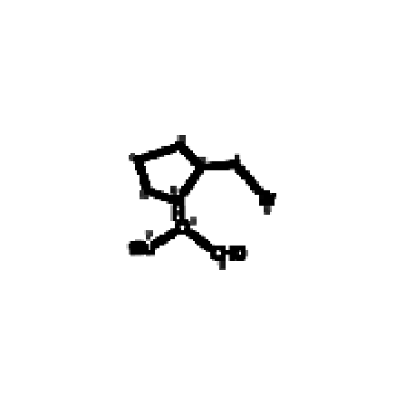 BrCC1CCCN1.CC(C)(C)OC=O